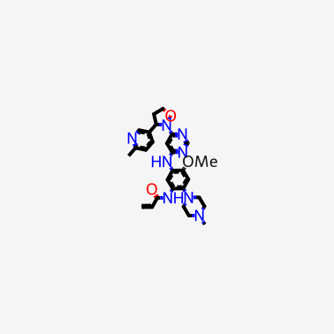 C=CC(=O)Nc1cc(Nc2cc(N3OCCC3c3ccc(C)nc3)ncn2)c(OC)cc1N1CCN(C)CC1